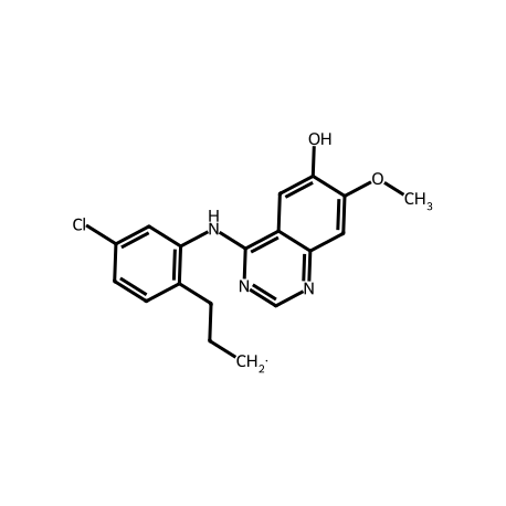 [CH2]CCc1ccc(Cl)cc1Nc1ncnc2cc(OC)c(O)cc12